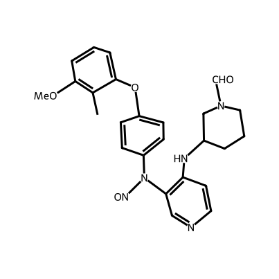 COc1cccc(Oc2ccc(N(N=O)c3cnccc3NC3CCCN(C=O)C3)cc2)c1C